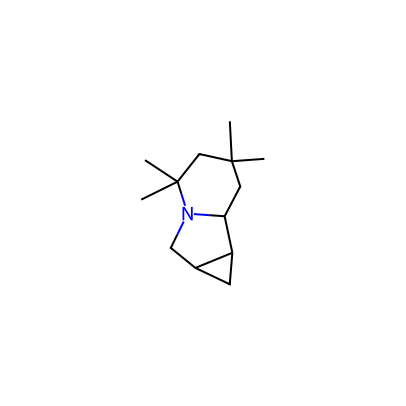 CC1(C)CC2C3CC3CN2C(C)(C)C1